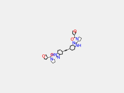 O=C(c1ccoc1)N1CCC[C@H]1c1nc2cc(C#Cc3ccc4[nH]c([C@@H]5CCCN5C(=O)c5ccoc5)nc4c3)ccc2[nH]1